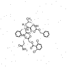 CC(C)C[C@H](NC(=O)OCc1ccccc1)C(=O)N[C@@H](Cc1ccccc1)C(=O)N[C@@H](CCC(N)=O)C(=O)COC(=O)c1c(Cl)cccc1Cl